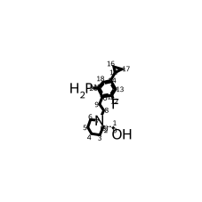 OC[C@@H]1CCCCN1CCc1c(F)cc(C2CC2)cc1P